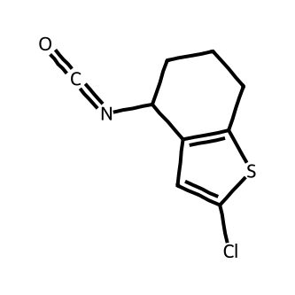 O=C=NC1CCCc2sc(Cl)cc21